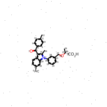 CC(=O)c1ccc2c(C(=O)c3ccc(C)cc3)c(C)n(-c3cccc(CO[C@H](C)C(=O)O)c3)c2c1